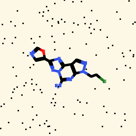 Nc1nc2c(cnn2CCCl)c2nc(-c3cnco3)nn12